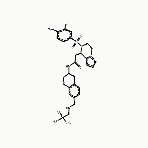 Cc1ccc(S(=O)(=O)N2CCn3cccc3C2CC(=O)NC2CCc3cc(CNCC(C)(C)C)ccc3C2)cc1Cl